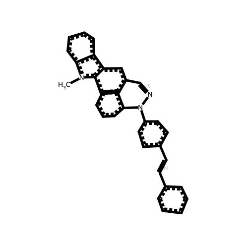 Cn1c2ccccc2c2cc(/C=N\N(c3ccccc3)c3ccc(/C=C/c4ccccc4)cc3)ccc21